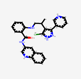 CC(CNc1ccccc1C(=O)Nc1cnc2ccccc2c1)c1c(-c2cccnc2)n[nH]c1Cl